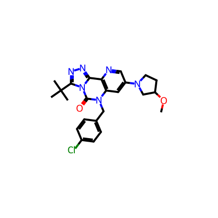 COC1CCN(c2cnc3c(c2)n(Cc2ccc(Cl)cc2)c(=O)n2c(C(C)(C)C)nnc32)C1